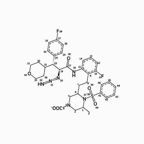 CC1CN(C(=O)[O-])CC(CCc2c(F)cccc2NC(=O)[C@@H](N=[N+]=N)[C@@H](c2ccc(F)cc2)C2CCOCC2)N1S(=O)(=O)c1ccccc1